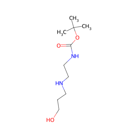 CC(C)(C)OC(=O)NCCNCCCO